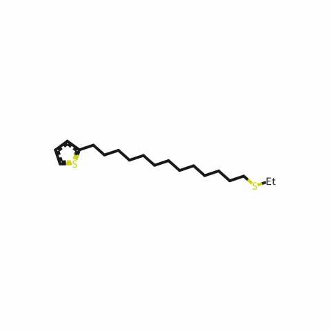 CCSCCCCCCCCCCCCCc1cccs1